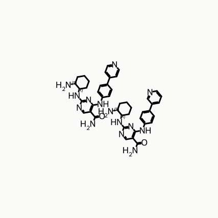 NC(=O)c1cnc(N[C@@H]2CCCC[C@@H]2N)nc1Nc1ccc(-c2cccnc2)cc1.NC(=O)c1cnc(N[C@@H]2CCCC[C@@H]2N)nc1Nc1ccc(-c2ccncc2)cc1